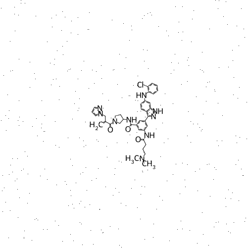 C=C(Cn1cccn1)C(=O)N1CCC(NC(=O)c2cc(NC(=O)CCCN(C)C)cc(-c3n[nH]c4cc(Nc5ccccc5Cl)ccc34)c2)C1